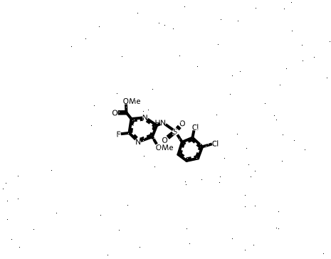 COC(=O)c1nc(NS(=O)(=O)c2cccc(Cl)c2Cl)c(OC)nc1F